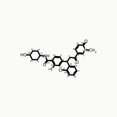 Cn1cc(C(=O)CC(c2ccc(C(=O)NC3CCC(O)CC3)c(F)c2)c2ccccc2Cl)ccc1=O